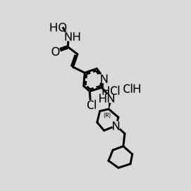 Cl.Cl.O=C(C=Cc1cnc(N[C@@H]2CCCN(CC3CCCCC3)C2)c(Cl)c1)NO